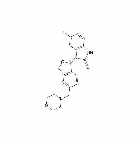 O=C1Nc2ccc(F)cc2/C1=C1\OCc2nc(CN3CCOCC3)ccc21